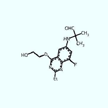 CCc1nc(OCCO)c2cc(NC(C)(C)C=O)cc(F)c2n1